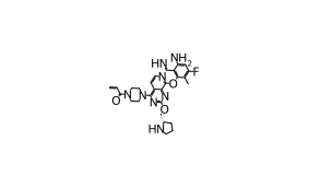 C=CC(=O)N1CCN(c2nc(OC[C@@H]3CCCN3)nc3c(Oc4c(C)c(F)cc(N)c4C=N)nccc23)CC1